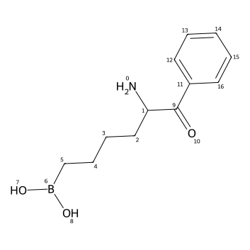 NC(CCCCB(O)O)C(=O)c1ccccc1